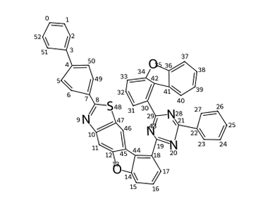 c1ccc(-c2ccc(-c3nc4cc5oc6cccc(-c7nc(-c8ccccc8)nc(-c8cccc9oc%10ccccc%10c89)n7)c6c5cc4s3)cc2)cc1